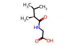 CC(C)[C@H](C)C(=O)NCC(=O)O